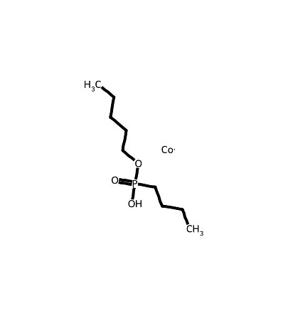 CCCCCOP(=O)(O)CCCC.[Co]